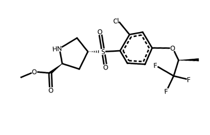 COC(=O)[C@@H]1C[C@@H](S(=O)(=O)c2ccc(O[C@@H](C)C(F)(F)F)cc2Cl)CN1